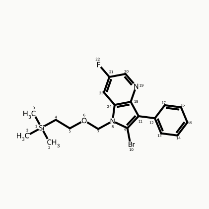 C[Si](C)(C)CCOCn1c(Br)c(-c2ccccc2)c2ncc(F)cc21